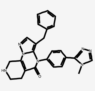 Cn1cnnc1-c1ccc(-n2c(=O)c3c(n4ncc(Cc5ccccc5)c24)CNCC3)cc1